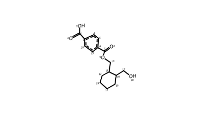 O=C(O)c1ccc(C(=O)OCC2CCCCC2CO)cc1